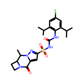 CC(C)c1cc(F)cc(C(C)C)c1NC(=O)NS(=O)(=O)c1cc2n(n1)C(C)C1CCN1C2=O